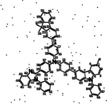 Cc1ccc2c(c1)c1cc(-c3ccc(N(c4ccc(-c5ccc6c(c5)C(C)(C)c5ccccc5-6)cc4)c4ccc(-c5nc6ccccc6n5-c5ccccc5)cc4)cc3)ccc1n2-c1ccccc1